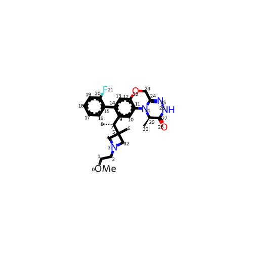 COCCN1CC(C)([C@H](C)c2cc3c(cc2-c2ccccc2F)OCC2=NNC(=O)[C@@H](C)N23)C1